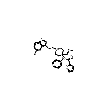 COCC1(N(C(=O)c2ccco2)c2ccccc2)CCN(CCc2c[nH]c3ccc(F)cc23)CC1